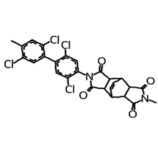 Cc1cc(Cl)c(-c2cc(Cl)c(N3C(=O)C4C5C=CC(C6C(=O)N(C)C(=O)C56)C4C3=O)cc2Cl)cc1Cl